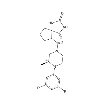 C[C@H]1CN(C(=O)C2CCCC23NC(=O)NC3=O)CCN1c1cc(F)cc(F)c1